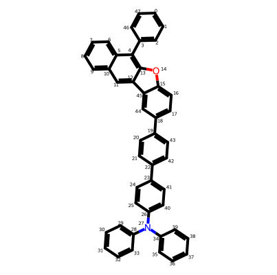 c1ccc(-c2c3ccccc3cc3c2oc2ccc(-c4ccc(-c5ccc(N(c6ccccc6)c6ccccc6)cc5)cc4)cc23)cc1